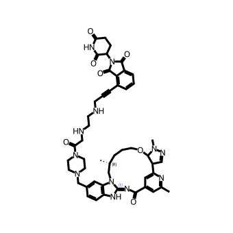 Cc1cc2cc(n1)C1C=NN(C)C1OCCC[C@@H](C)CN1/C(=N/C2=O)Nc2ccc(CN3CCN(C(=O)CNCCNCC#Cc4cccc5c4C(=O)N(C4CCC(=O)NC4=O)C5=O)CC3)cc21